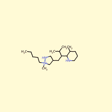 CCCCC[N+]1(C)CC(CC(C(C)C)C2NCCCC2C)CN1